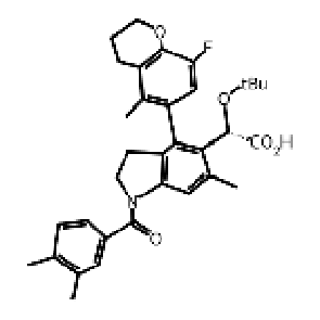 Cc1ccc(C(=O)N2CCc3c2cc(C)c([C@H](OC(C)(C)C)C(=O)O)c3-c2cc(F)c3c(c2C)CCCO3)cc1C